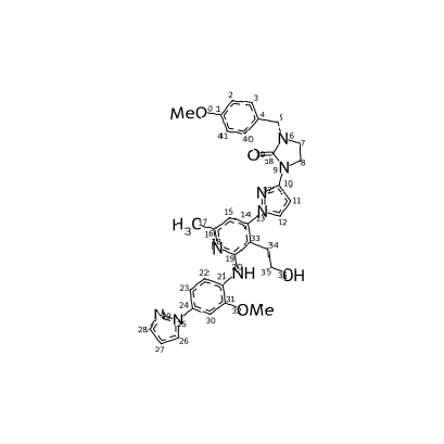 COc1ccc(CN2CCN(c3ccn(-c4cc(C)nc(Nc5ccc(-n6cccn6)cc5OC)c4CCO)n3)C2=O)cc1